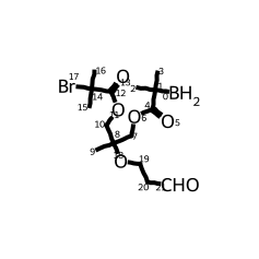 BC(C)(C)C(=O)OCC(C)(COC(=O)C(C)(C)Br)OCCC=O